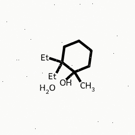 CCC1(CC)CCCCC1(C)O.O